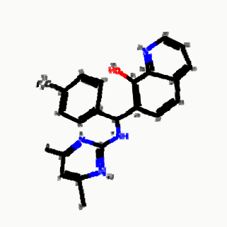 Cc1cc(C)nc(NC(c2ccc(C(F)(F)F)cc2)c2ccc3cccnc3c2O)n1